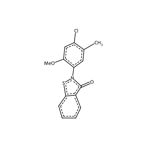 COc1cc(Cl)c(C)cc1-n1sc2ccccc2c1=O